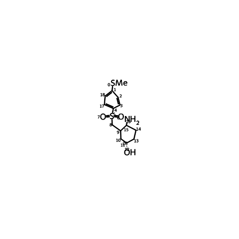 CSc1ccc(S(=O)(=O)CC2C[C@@H](O)CCC2N)cc1